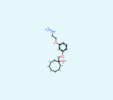 NNCCOc1cccc(OCC2(O)CCCCCCC2)c1